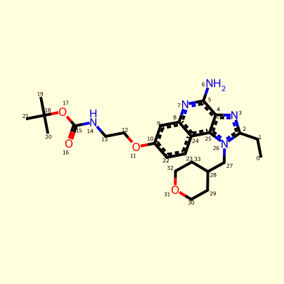 CCc1nc2c(N)nc3cc(OCCNC(=O)OC(C)(C)C)ccc3c2n1CC1CCOCC1